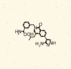 CNC(=O)c1cccc(Cn2cc(CC(C)O)c3cc(-c4c[nH]nc4N)ccc3c2=O)c1